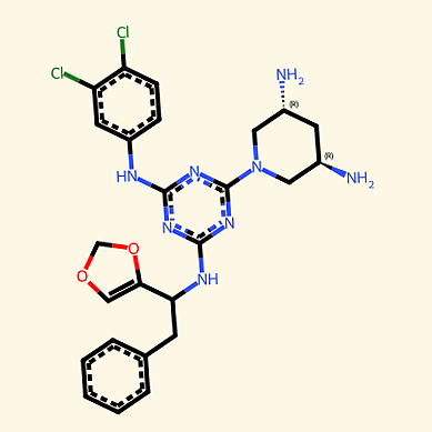 N[C@@H]1C[C@@H](N)CN(c2nc(Nc3ccc(Cl)c(Cl)c3)nc(NC(Cc3ccccc3)C3=COCO3)n2)C1